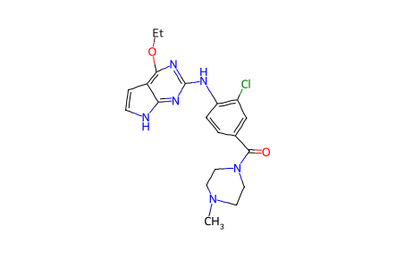 CCOc1nc(Nc2ccc(C(=O)N3CCN(C)CC3)cc2Cl)nc2[nH]ccc12